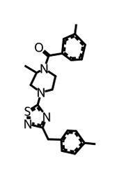 Cc1ccc(Cc2nsc(N3CCN(C(=O)c4cccc(C)c4)C(C)C3)n2)cc1